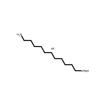 CCCCCCCCCCCCCCCCCCN.F